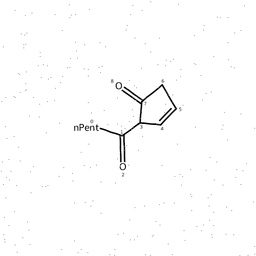 CCCCCC(=O)C1C=CCC1=O